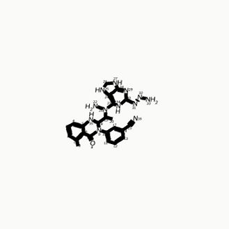 Cc1cccc2c1C(=O)N(c1cccc(C#N)c1)C(C(C)N(N)C1=C3NCNC3=NC(N=NN)N1)N2